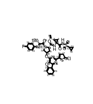 C=C[C@@H]1C[C@]1(NC(=O)[C@@H]1C[C@@H](Oc2nc(C3=CCC(Cl)S3)nc3c2oc2ccccc23)CN1C(=O)[C@@H](Nc1ccc(F)cc1)C(C)(C)C)C(=O)NS(=O)(=O)C1CC1